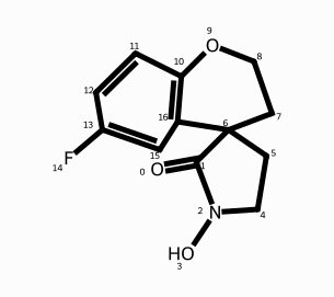 O=C1N(O)CCC12CCOc1ccc(F)cc12